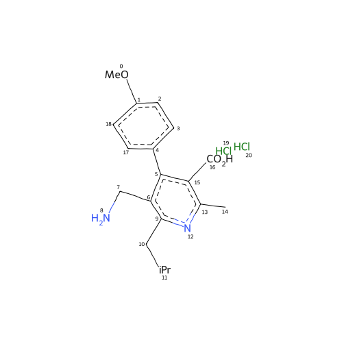 COc1ccc(-c2c(CN)c(CC(C)C)nc(C)c2C(=O)O)cc1.Cl.Cl